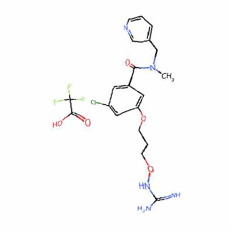 CN(Cc1cccnc1)C(=O)c1cc(Cl)cc(OCCCONC(=N)N)c1.O=C(O)C(F)(F)F